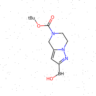 CC(C)(C)OC(=O)N1CCn2nc(BO)cc2C1